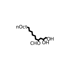 CCCCCCCCCCCCCCC(C=O)CC(O)CO